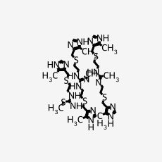 C/C(=N\CCSCc1nc[nH]c1C)NCCSCc1nc[nH]c1C.CN=C(NCCSCc1nc[nH]c1C)NCCSCc1nc[nH]c1C.CSC(=N)NCCSCc1nc[nH]c1C